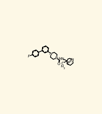 CC1(NC(=O)N2CCN(c3cccc(-c4ccc(F)cc4)c3)CC2)CCN2CCC1CC2